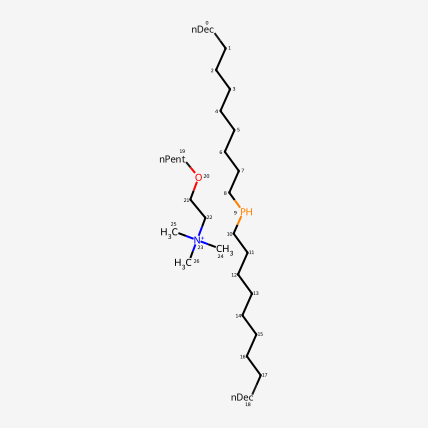 CCCCCCCCCCCCCCCCCCPCCCCCCCCCCCCCCCCCC.CCCCCOCC[N+](C)(C)C